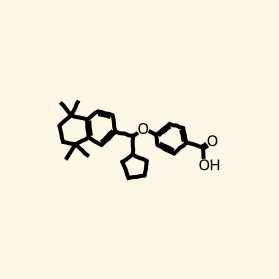 CC1(C)CCC(C)(C)c2cc(C(Oc3ccc(C(=O)O)cc3)C3CCCC3)ccc21